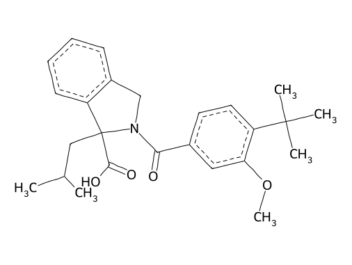 COc1cc(C(=O)N2Cc3ccccc3C2(CC(C)C)C(=O)O)ccc1C(C)(C)C